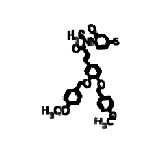 COc1ccc(COc2ccc(C=CC(=O)N(C)N3C=CC(=S)CC3=O)cc2OCc2ccc(OC)cc2)cc1